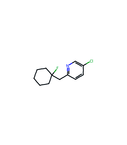 FC1(Cc2ccc(Cl)cn2)CCCCC1